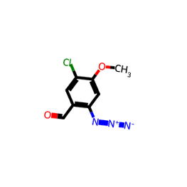 COc1cc(N=[N+]=[N-])c(C=O)cc1Cl